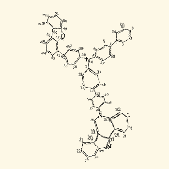 c1ccc(-c2ccc(N(c3ccc(-c4ccc(-n5cc6c7ccccc7nc-6c6ccccc65)cc4)cc3)c3ccc(-c4cccc5c4oc4ccccc45)cc3)cc2)cc1